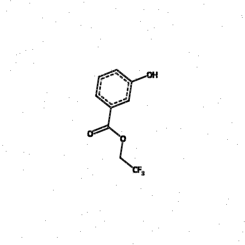 O=C(OCC(F)(F)F)c1cccc(O)c1